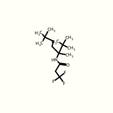 CC(C)(C)CCC(C)(NC(=O)CC(F)(F)F)C(C)(C)C